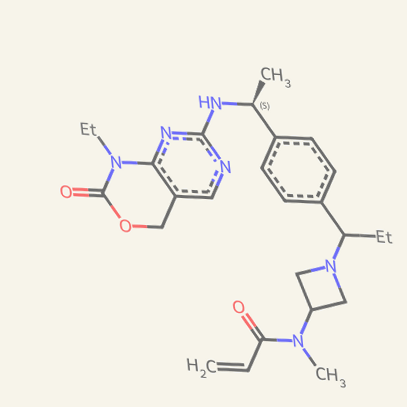 C=CC(=O)N(C)C1CN(C(CC)c2ccc([C@H](C)Nc3ncc4c(n3)N(CC)C(=O)OC4)cc2)C1